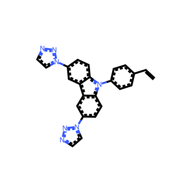 C=Cc1ccc(-n2c3ccc(-n4ccnn4)cc3c3cc(-n4ccnn4)ccc32)cc1